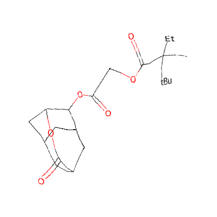 CCC(C)(C(=O)OCC(=O)OC1C2CC3CC(C2)C(=O)OC1C3)C(C)(C)C